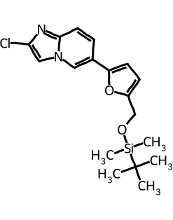 CC(C)(C)[Si](C)(C)OCc1ccc(-c2ccc3nc(Cl)cn3c2)o1